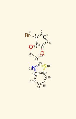 Brc1cccc2c1OCC(c1nc3ccccc3s1)O2